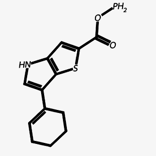 O=C(OP)c1cc2[nH]cc(C3=CCCCC3)c2s1